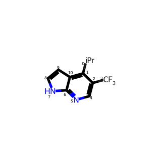 CC(C)c1c(C(F)(F)F)cnc2[nH]ccc12